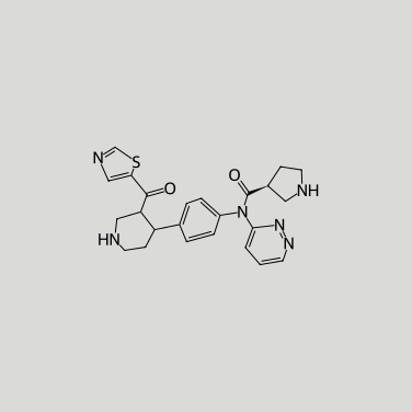 O=C(c1cncs1)C1CNCCC1c1ccc(N(C(=O)[C@H]2CCNC2)c2cccnn2)cc1